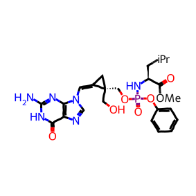 COC(=O)[C@H](CC(C)C)NP(=O)(OC[C@@]1(CO)C/C1=C/n1cnc2c(=O)[nH]c(N)nc21)Oc1ccccc1